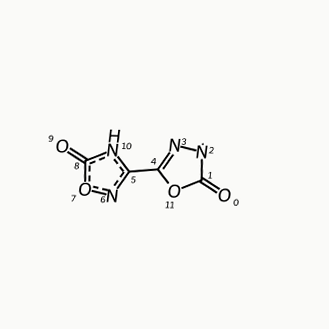 O=C1[N]N=C(c2noc(=O)[nH]2)O1